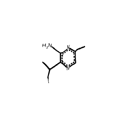 Cc1cnc(C(C)I)c(N)n1